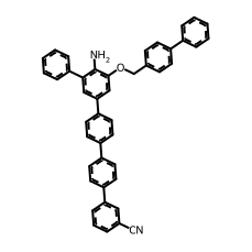 N#Cc1cccc(-c2ccc(-c3ccc(-c4cc(OCc5ccc(-c6ccccc6)cc5)c(N)c(-c5ccccc5)c4)cc3)cc2)c1